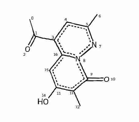 CC(=O)c1cc(C)nn2c(=O)c(C)c(O)cc12